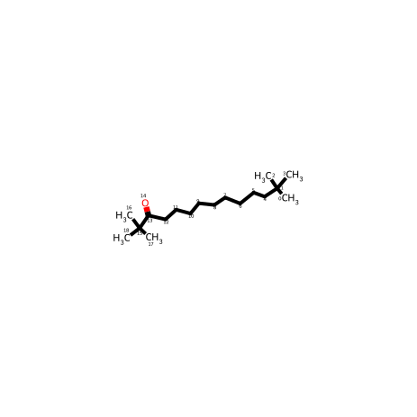 CC(C)(C)CCCCCCCCCC(=O)C(C)(C)C